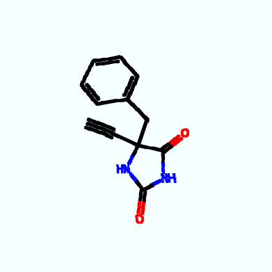 C#CC1(Cc2ccccc2)NC(=O)NC1=O